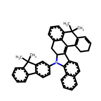 CC1(C)C2=C(CCC=C2)C2=C3c4ccc5ccccc5c4N(c4ccc5c(c4)C(C)(C)c4ccccc4-5)C3Cc3cccc1c32